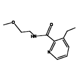 CCc1cccnc1C(=O)NCCOC